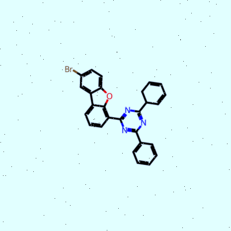 Brc1ccc2oc3c(-c4nc(-c5ccccc5)nc(C5C=CC=CC5)n4)cccc3c2c1